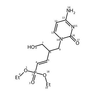 CCOP(=O)(C=CC(CO)Cn1ccc(N)nc1=O)OCC